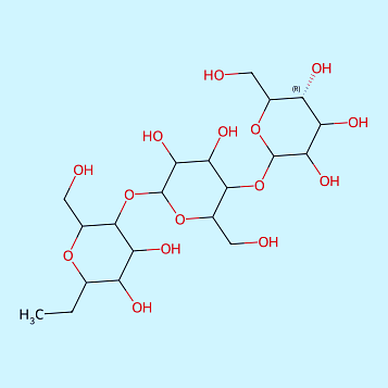 CCC1OC(CO)C(OC2OC(CO)C(OC3OC(CO)[C@H](O)C(O)C3O)C(O)C2O)C(O)C1O